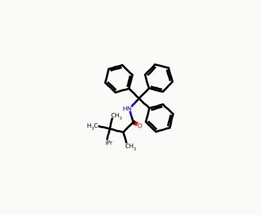 CC(C)C(C)(C)C(C)C(=O)NC(c1ccccc1)(c1ccccc1)c1ccccc1